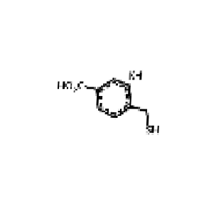 O=C(O)c1ccc(CS)cc1.[KH]